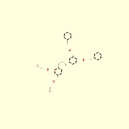 CC(C)COC(=O)Oc1cc(OC(=O)OCC(C)C)c2c(c1)O[C@H](c1ccc(OC(=O)OCc3ccccc3)c(OC(=O)OCc3ccccc3)c1)[C@H](O)C2